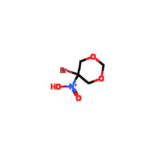 O=[N+](O)C1(Br)COCOC1